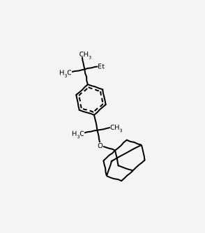 CCC(C)(C)c1ccc(C(C)(C)OC23CC4CC(CC(C4)C2)C3)cc1